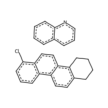 Clc1cccc2c1ccc1c3c(ccc12)CCCC3.c1ccc2ncccc2c1